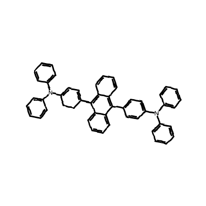 C1=C(c2c3ccccc3c(-c3ccc(N(c4ccccc4)c4ccccc4)cc3)c3ccccc23)CCC(N(c2ccccc2)c2ccccc2)=C1